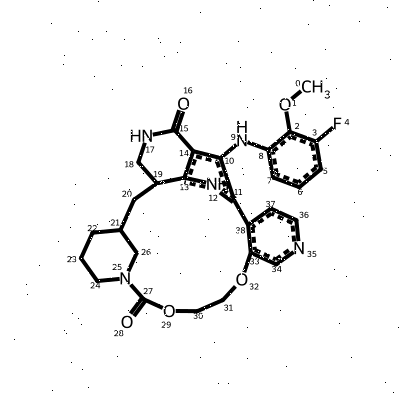 COc1c(F)cccc1Nc1c2[nH]c3c1C(=O)NCC3CC1CCCN(C1)C(=O)OCCOc1cnccc1-2